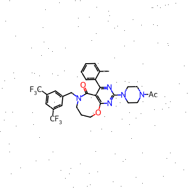 CC(=O)N1CCN(c2nc3c(c(-c4ccccc4C)n2)C(=O)N(Cc2cc(C(F)(F)F)cc(C(F)(F)F)c2)CCCO3)CC1